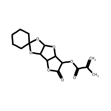 C=C(C)C(=O)OC1C(=O)OC2C3OC4(CCCCC4)OC3OC12